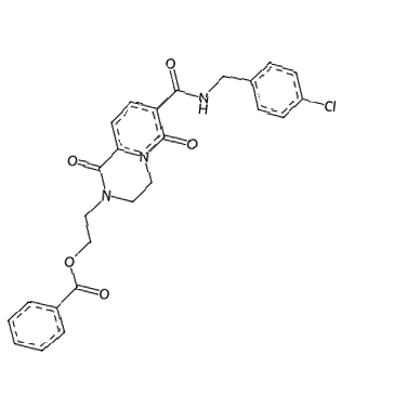 O=C(OCCN1CCn2c(ccc(C(=O)NCc3ccc(Cl)cc3)c2=O)C1=O)c1ccccc1